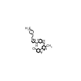 Cc1nnc(-c2cc(Cl)ccc2F)cc1Nc1ccnc(Nc2ccn(CCN3CCN(C)CC3)n2)c1